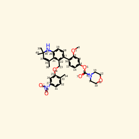 COc1cc(OC(=O)N2CCOCC2)ccc1-c1ccc2c(c1COc1cc([N+](=O)[O-])ccc1C)C(C)=CC(C)(C)N2